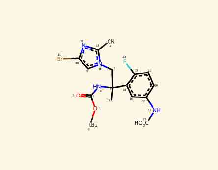 CC(C)(C)OC(=O)NC(C)(Cn1cc(Br)nc1C#N)c1cc(NC(=O)O)ccc1F